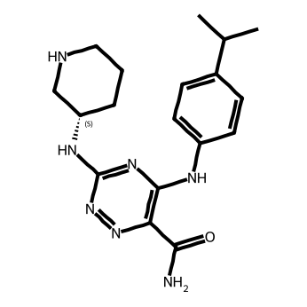 CC(C)c1ccc(Nc2nc(N[C@H]3CCCNC3)nnc2C(N)=O)cc1